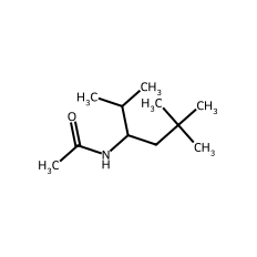 CC(=O)NC(CC(C)(C)C)C(C)C